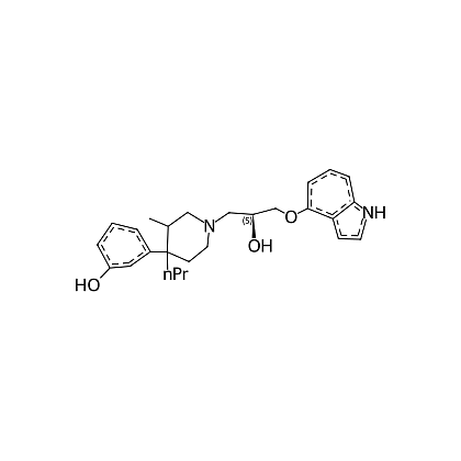 CCCC1(c2cccc(O)c2)CCN(C[C@H](O)COc2cccc3[nH]ccc23)CC1C